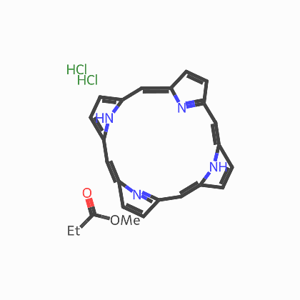 C1=Cc2cc3ccc(cc4nc(cc5ccc(cc1n2)[nH]5)C=C4)[nH]3.CCC(=O)OC.Cl.Cl